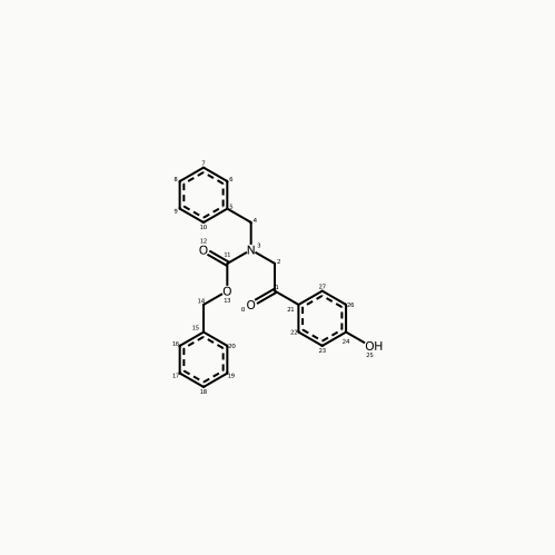 O=C(CN(Cc1ccccc1)C(=O)OCc1ccccc1)c1ccc(O)cc1